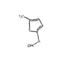 O=COc1ccc(C(F)(F)F)s1